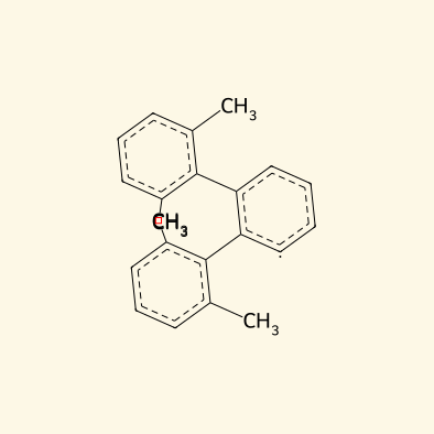 Cc1cccc(C)c1-c1[c]cccc1-c1c(C)cccc1C